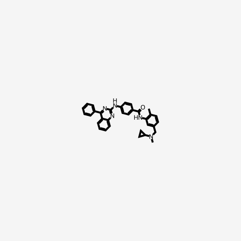 Cc1ccc(CN(C)C2CC2)cc1NC(=O)c1ccc(Nc2nc(-c3ccccc3)c3ccccc3n2)cc1